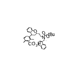 Cc1ccc(C2C[C@H](CCN(C(=O)OC(C)(C)C)[C@H](C)c3cccc4ccccc34)Oc3ccccc32)c(C)c1C(=O)O